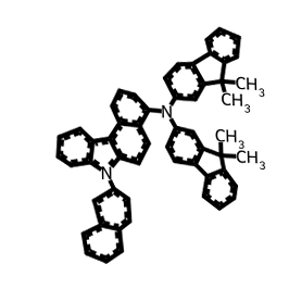 CC1(C)c2ccccc2-c2ccc(N(c3ccc4c(c3)C(C)(C)c3ccccc3-4)c3cccc4c3ccc3c4c4ccccc4n3-c3ccc4ccccc4c3)cc21